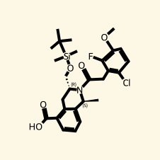 COc1ccc(Cl)c(CC(=O)N2[C@@H](CO[Si](C)(C)C(C)(C)C)Cc3c(C(=O)O)cccc3[C@@H]2C)c1F